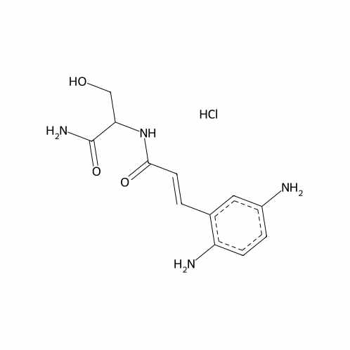 Cl.NC(=O)C(CO)NC(=O)C=Cc1cc(N)ccc1N